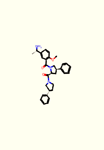 COc1ccc([C@H](C)N)cc1C(=O)N1C[C@@H](c2ccccc2)C[C@H]1C(=O)N1CC[C@H](c2ccccc2)C1